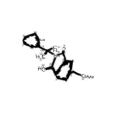 COc1ccc2c(c1)C(=O)N(C(C)(C)c1ccccc1)C2O